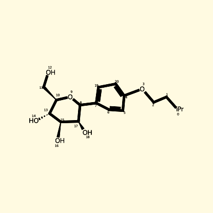 CC(C)CCOc1ccc(C2O[C@H](CO)[C@@H](O)[C@H](O)[C@@H]2O)cc1